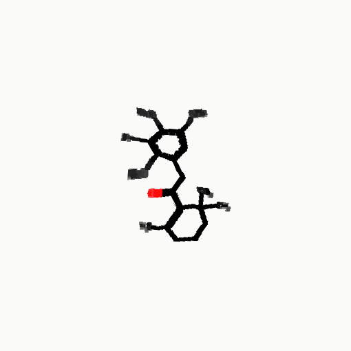 COc1cc(CC(=O)C2=C(C)CCCC2(C)C)c(OC)c(C(C)C)c1OC